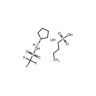 CCCCS(=O)(=O)O.CN1CCCC1.O=S(=O)(O)C(F)(F)F.[LiH]